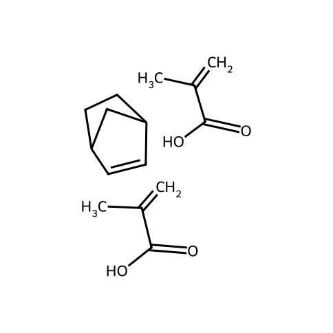 C1=CC2CCC1C2.C=C(C)C(=O)O.C=C(C)C(=O)O